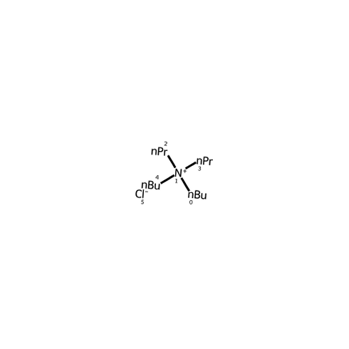 CCCC[N+](CCC)(CCC)CCCC.[Cl-]